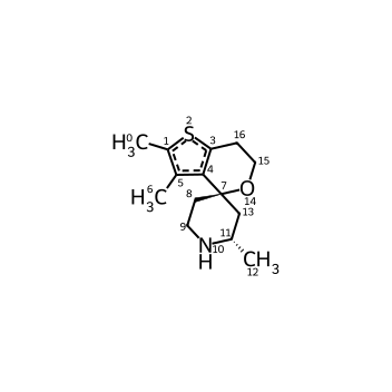 Cc1sc2c(c1C)[C@]1(CCN[C@@H](C)C1)OCC2